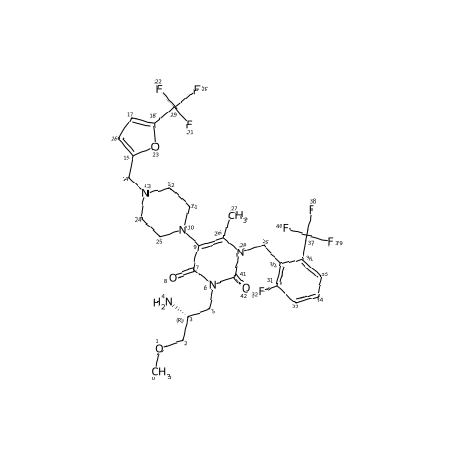 COC[C@H](N)Cn1c(=O)c(N2CCN(Cc3ccc(C(F)(F)F)o3)CC2)c(C)n(Cc2c(F)cccc2C(F)(F)F)c1=O